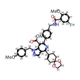 COC(=O)c1c(-c2ccc(CNC(=O)c3cc(F)ccc3OC)cc2)nc(C2=CCC3(CC2)OCCO3)c2cnn(Cc3ccc(OC)cc3)c12